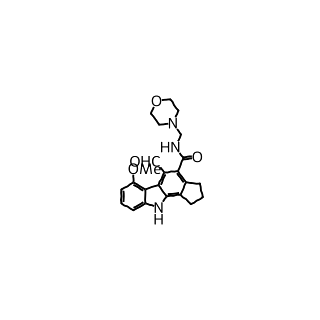 COc1cccc2[nH]c3c4c(c(C(=O)NCN5CCOCC5)c(C=O)c3c12)CCC4